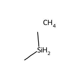 C.C[SiH2]C